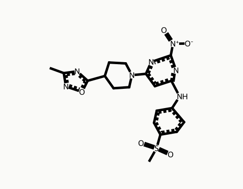 Cc1noc(C2CCN(c3cc(Nc4ccc(S(C)(=O)=O)cc4)nc([N+](=O)[O-])n3)CC2)n1